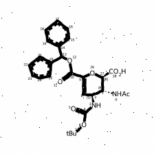 CC(=O)N[C@@H]1[C@@H](NC(=O)OC(C)(C)C)C=C(C(=O)OC(c2ccccc2)c2ccccc2)O[C@H]1C(=O)O